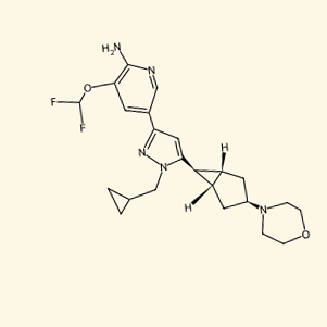 Nc1ncc(-c2cc([C@H]3[C@@H]4C[C@@H](N5CCOCC5)C[C@@H]43)n(CC3CC3)n2)cc1OC(F)F